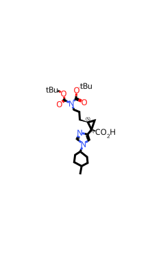 CC1CCC(n2cnc([C@@]3(C(=O)O)C[C@@H]3CCCN(C(=O)OC(C)(C)C)C(=O)OC(C)(C)C)c2)CC1